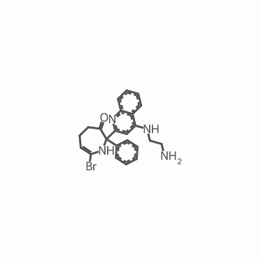 NCCNc1cc(C2(c3ccccc3)NC(Br)=CCCC2=O)nc2ccccc12